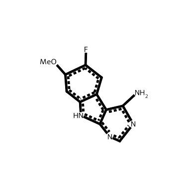 COc1cc2[nH]c3ncnc(N)c3c2cc1F